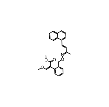 COC=C(C(=O)OC)c1ccccc1CON=C(C)C=Cc1cccc2ccccc12